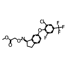 COC(=O)CON=C1CCc2ccc(Oc3c(F)cc(C(F)(F)F)cc3Cl)cc21